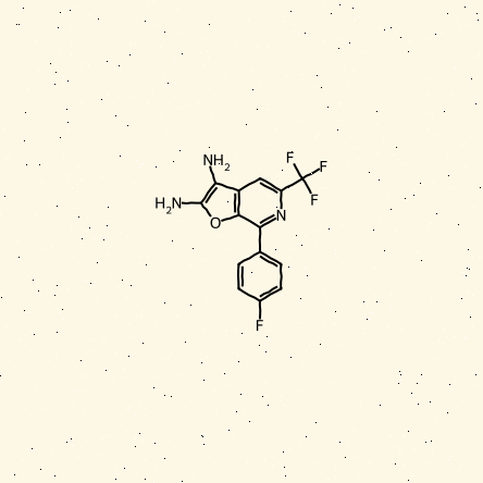 Nc1oc2c(-c3ccc(F)cc3)nc(C(F)(F)F)cc2c1N